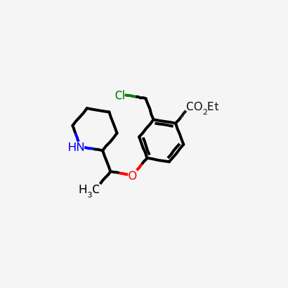 CCOC(=O)c1ccc(OC(C)C2CCCCN2)cc1CCl